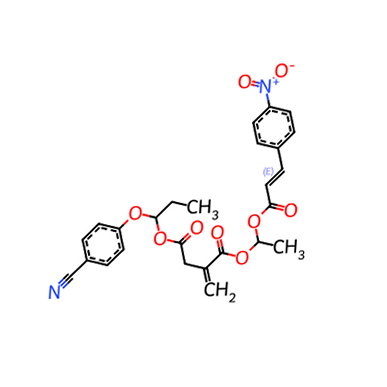 C=C(CC(=O)OC(CC)Oc1ccc(C#N)cc1)C(=O)OC(C)OC(=O)/C=C/c1ccc([N+](=O)[O-])cc1